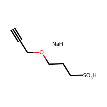 C#CCOCCCS(=O)(=O)O.[NaH]